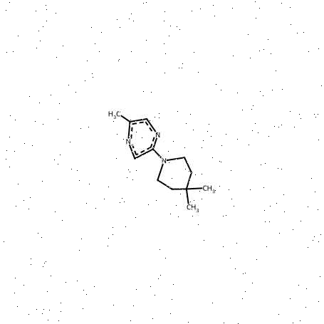 Cc1cnc(N2CCC(C)(C)CC2)cn1